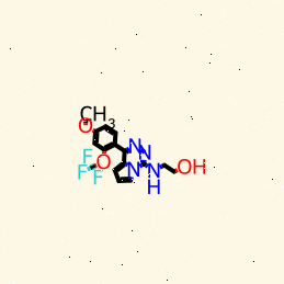 COc1ccc(-c2nnc(NCCO)n3cccc23)c(OC(F)(F)F)c1